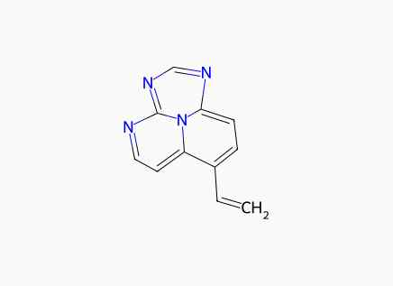 C=CC1=CC=C2N=CN=C3N=CC=C1N23